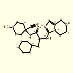 CN1CCC(C#N)(NC(=O)C(CC2CCCCC2)Nc2ncc3n2CCOC3)CC1